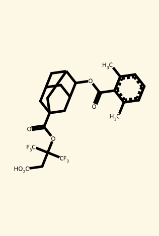 Cc1cccc(C)c1C(=O)OC1C2CC3CC1CC(C(=O)OC(CC(=O)O)(C(F)(F)F)C(F)(F)F)(C3)C2